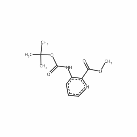 COC(=O)c1ncccc1NC(=O)OC(C)(C)C